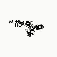 CNC[C@@H](O)COc1ccc(F)c(-c2nc(-c3c(C)noc3C)c(C)c(N3CC4(CCOCC4)C3)n2)c1